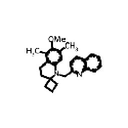 COc1c(C)cc2c(c1C)CCC1(CCC1)N2Cc1ccc2ccccc2n1